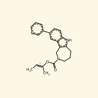 C/C=C(\C)OC(=O)N1CCCc2[nH]c3ccc(-c4cccnc4)cc3c2C1